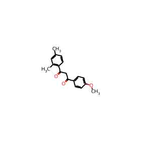 COc1ccc(C(=O)CC(=O)c2ccc(C)cc2C)cc1